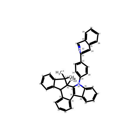 CC1(C)c2ccccc2C2c3ccccc3-c3c(n(-c4ccc(-c5cc6ccccc6cn5)cc4)c4ccccc34)C21C